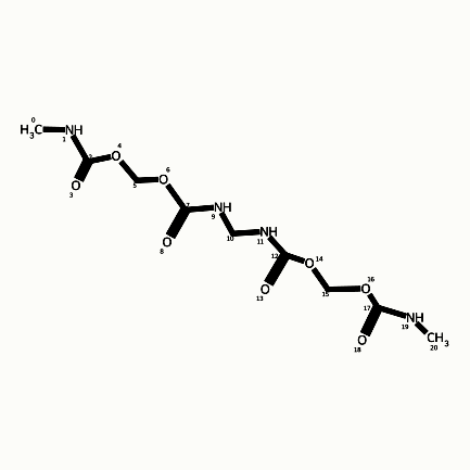 CNC(=O)OCOC(=O)NCNC(=O)OCOC(=O)NC